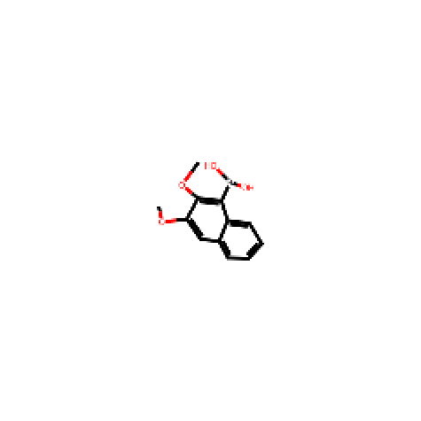 COc1cc2ccccc2c(B(O)O)c1OC